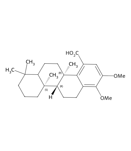 COc1cc(C(=O)O)c2c(c1OC)CC[C@H]1[C@@]2(C)CCC2C(C)(C)CCC[C@@]21C